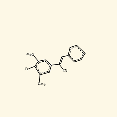 COc1cc(C(C#N)=Cc2ccccc2)cc(OC)c1C(C)C